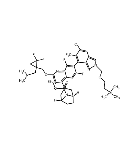 CN(C)C[C@@]1(COc2nc(N3C[C@H]4CC[C@@H](C3)N4C(=O)OC(C)(C)C)c3cc(F)c(-c4c(C(F)(F)F)c(Cl)cc5cn(COCC[Si](C)(C)C)nc45)c(F)c3n2)CC1(F)F